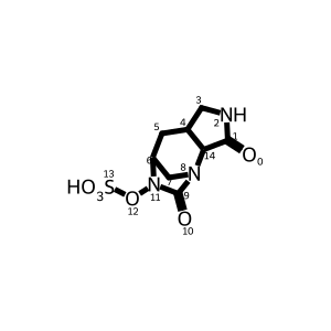 O=C1NCC2CC3CN(C(=O)N3OS(=O)(=O)O)C12